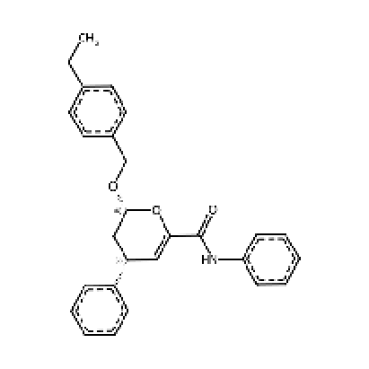 CCc1ccc(CO[C@H]2C[C@@H](c3ccccc3)C=C(C(=O)Nc3ccccc3)O2)cc1